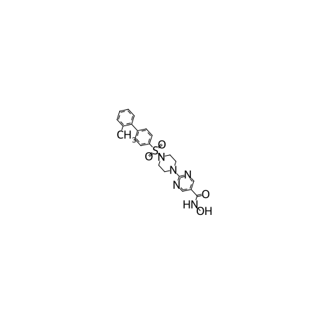 Cc1ccccc1-c1ccc(S(=O)(=O)N2CCN(c3ncc(C(=O)NO)cn3)CC2)cc1